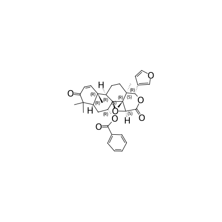 CC1(C)C(=O)C=C[C@]2(C)[C@H]3CC[C@@]4(C)[C@H](c5ccoc5)OC(=O)[C@H]5O[C@]54[C@]3(C)[C@H](OC(=O)c3ccccc3)C[C@@H]12